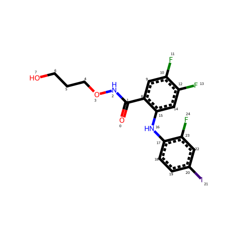 O=C(NOCCCO)c1cc(F)c(F)cc1Nc1ccc(I)cc1F